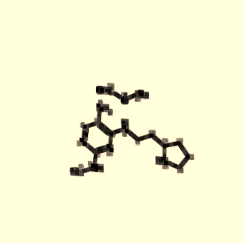 CC(C)(C)Nc1ncc(N)c(NCCC2CCCN2)n1.CC(C)(C)OC=O